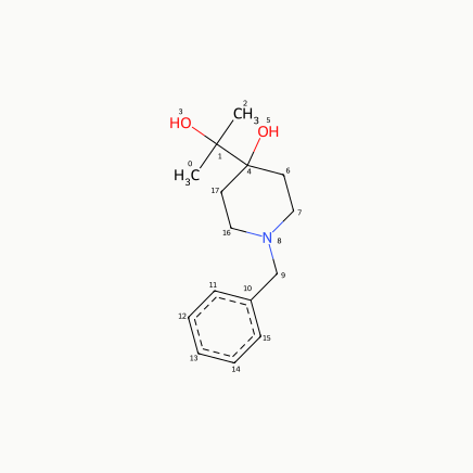 CC(C)(O)C1(O)CCN(Cc2ccccc2)CC1